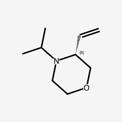 C=C[C@@H]1COCCN1C(C)C